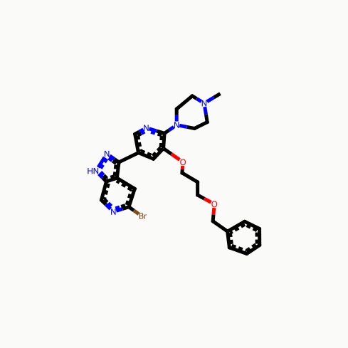 CN1CCN(c2ncc(-c3n[nH]c4cnc(Br)cc34)cc2OCCCOCc2ccccc2)CC1